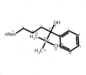 CCCCCCCCCCCCC(O)(c1ccccc1)[N+](C)(C)C